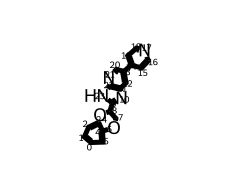 c1ccc2c(c1)OCC(c1nc3cc(-c4ccncc4)cnc3[nH]1)O2